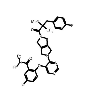 CCN(C(=O)c1cc(F)ccc1Oc1cncnc1N1CC2=C(CN(C(=O)C(C)(Cc3ccc(F)cc3)NC)C2)C1)C(C)C